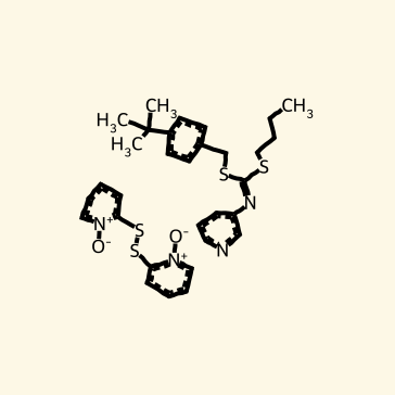 CCCCS/C(=N/c1cccnc1)SCc1ccc(C(C)(C)C)cc1.[O-][n+]1ccccc1SSc1cccc[n+]1[O-]